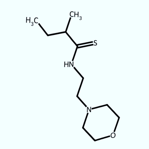 CCC(C)C(=S)NCCN1CCOCC1